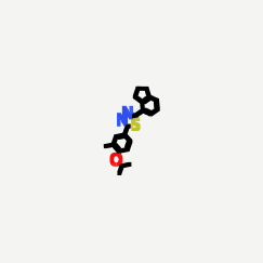 Cc1cc(-c2nnc(-c3cccc4c3CCC4)s2)ccc1OC(C)C